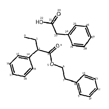 CCC(C(=O)OCCc1ccccc1)c1ccccc1.O=C(O)Cc1ccccc1